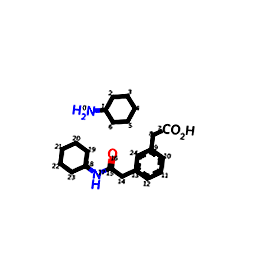 NC1CCCCC1.O=C(O)Cc1cccc(CC(=O)NC2CCCCC2)c1